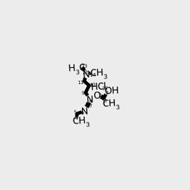 CC(=O)O.CCN=C=NCCCN(C)C.Cl